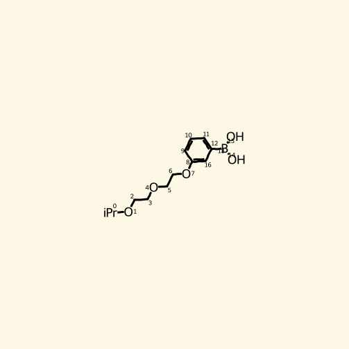 CC(C)OCCOCCOc1cccc(B(O)O)c1